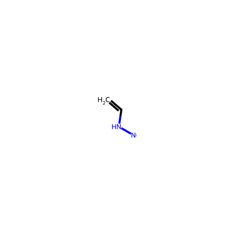 C=CN[N]